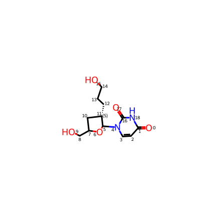 O=c1ccn(C2OC(CO)C[C@@H]2CCCO)c(=O)[nH]1